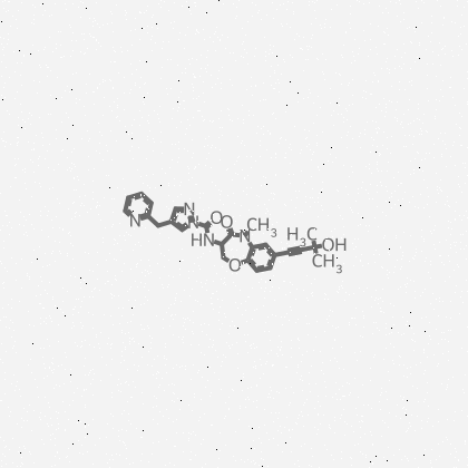 CN1C(=O)C(NC(=O)n2cc(Cc3ccccn3)cn2)COc2ccc(C#CC(C)(C)O)cc21